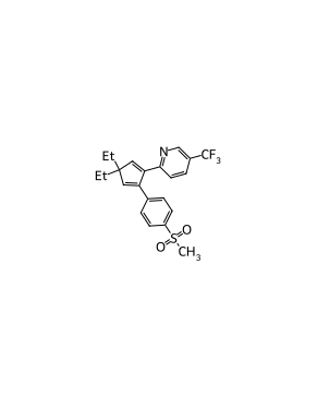 CCC1(CC)C=C(c2ccc(S(C)(=O)=O)cc2)C(c2ccc(C(F)(F)F)cn2)=C1